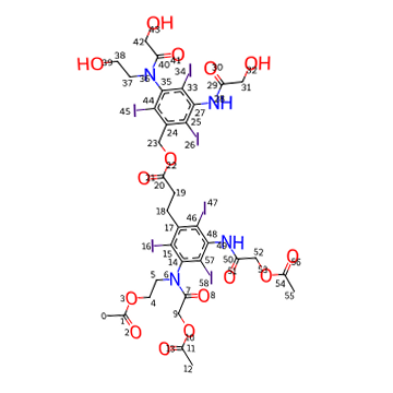 CC(=O)OCCN(C(=O)COC(C)=O)c1c(I)c(CCC(=O)OCc2c(I)c(NC(=O)CO)c(I)c(N(CCO)C(=O)CO)c2I)c(I)c(NC(=O)COC(C)=O)c1I